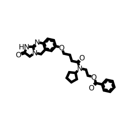 O=C1CN2Cc3cc(OCCCC(=O)N(CCOC(=O)c4ccccc4)C4CCCC4)ccc3N=C2N1